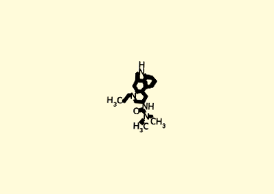 CCCN1C[C@@H](NC(=O)N(CC)CC)CC2c3cccc4[nH]cc(c34)CC21